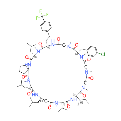 CC[C@H](C)[C@@H]1NC(=O)[C@H](C(C)C)N(C)C(=O)C[C@@H](CC(C)C)NC(=O)[C@H](CC(C)C)N(C)C(=O)C2(CCCC2)NC(=O)[C@H](CC(C)C)N(C)C(=O)[C@H](CCc2ccc(C(F)(F)F)cc2)NC(=O)CN(C)C(=O)[C@H](Cc2ccc(Cl)cc2)N(C)C(=O)CN(C)C(=O)CN(C)C1=O